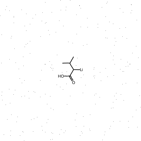 [Li][CH](C(=O)O)C(C)C